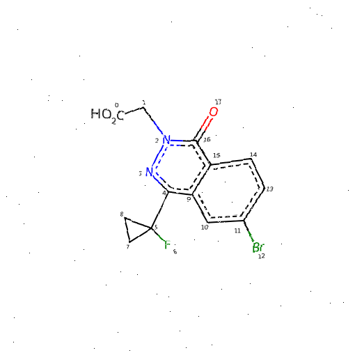 O=C(O)Cn1nc(C2(F)CC2)c2cc(Br)ccc2c1=O